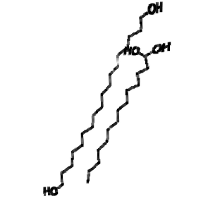 CCCCCCCCCCCCCC(O)O.OCCCCCCCCCCCCCCCCCCO